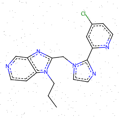 CCCn1c(Cn2ccnc2-c2cc(Cl)ccn2)nc2cnccc21